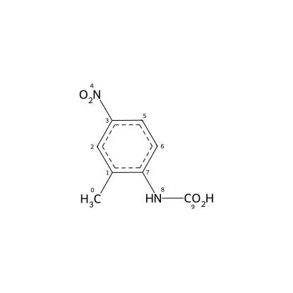 Cc1cc([N+](=O)[O-])ccc1NC(=O)O